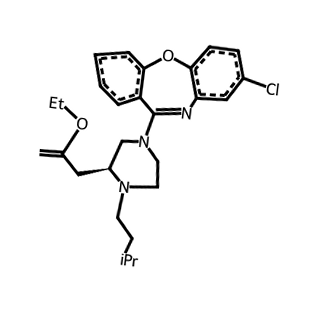 C=C(C[C@H]1CN(C2=Nc3cc(Cl)ccc3Oc3ccccc32)CCN1CCC(C)C)OCC